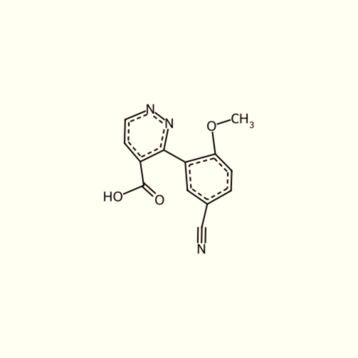 COc1ccc(C#N)cc1-c1nnccc1C(=O)O